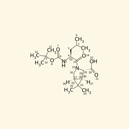 CC(C)C[C@H](NC(=O)OC(C)(C)C)C(=O)N1C[C@H]2[C@@H]([C@H]1C(=O)O)C2(C)C